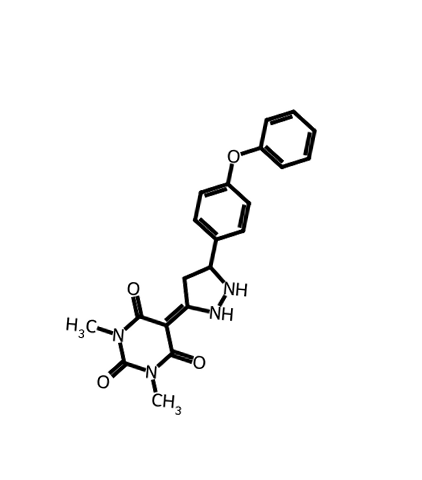 CN1C(=O)C(=C2CC(c3ccc(Oc4ccccc4)cc3)NN2)C(=O)N(C)C1=O